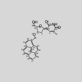 Cc1cn([C@H]2C[C@H](OCc3ccc4ccc5cccc6ccc3c4c56)[C@@H](CO)O2)c(=O)[nH]c1=O